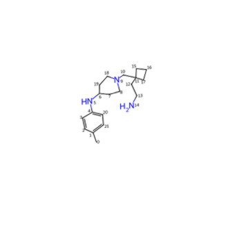 Cc1ccc(NC2CCN(CC3(CCN)CCC3)CC2)cc1